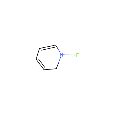 FN1[CH]C=CC=C1